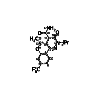 CC(C)n1nc(-c2ccc(C(F)(F)F)cc2)c([S@@+](C)[O-])c(C(N)=O)c1=O